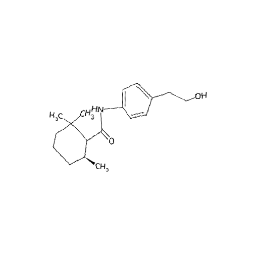 C[C@H]1CCCC(C)(C)C1C(=O)Nc1ccc(CCO)cc1